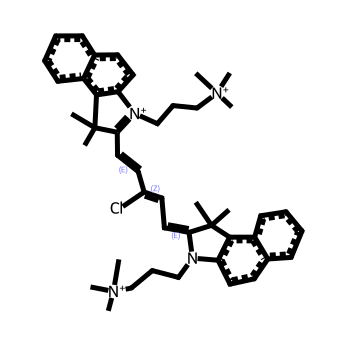 CC1(C)C(/C=C/C(Cl)=C/C=C2/N(CCC[N+](C)(C)C)c3ccc4ccccc4c3C2(C)C)=[N+](CCC[N+](C)(C)C)c2ccc3ccccc3c21